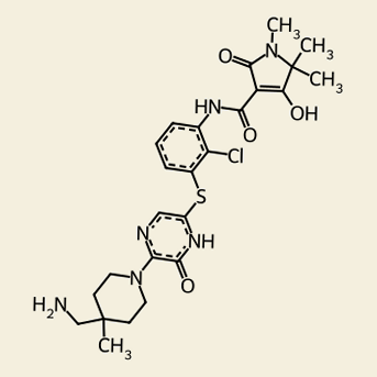 CN1C(=O)C(C(=O)Nc2cccc(Sc3cnc(N4CCC(C)(CN)CC4)c(=O)[nH]3)c2Cl)=C(O)C1(C)C